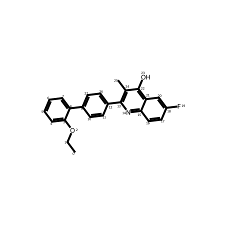 CCOc1ccccc1-c1ccc(-c2nc3ccc(F)cc3c(O)c2C)cc1